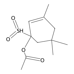 CC(=O)OC1([SH](=O)=O)C=C(C)CC(C)(C)C1